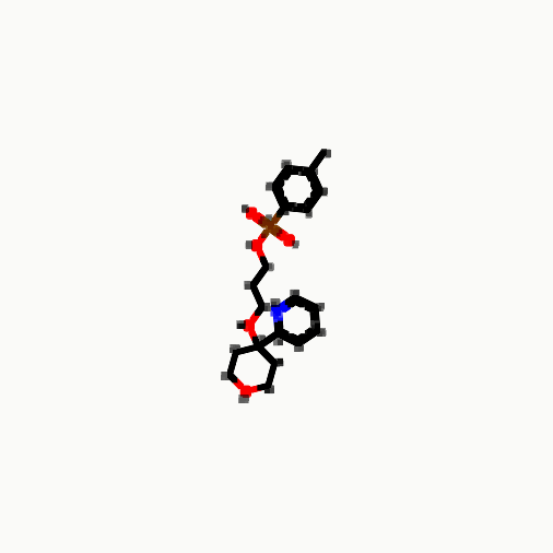 Cc1ccc(S(=O)(=O)OCCCOC2(c3ccccn3)CCOCC2)cc1